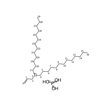 C=C[CH2][Ti]([CH2]CCCCCCCCCCCC)[CH2]CCCCCCCCCCCC.OP(O)O